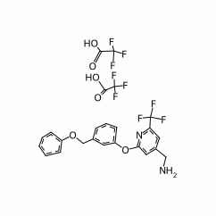 NCc1cc(Oc2cccc(COc3ccccc3)c2)nc(C(F)(F)F)c1.O=C(O)C(F)(F)F.O=C(O)C(F)(F)F